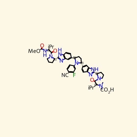 COC(=O)N[C@H](C(=O)N1CCC[C@H]1c1nc2cc([C@H]3CC[C@H](c4ccc5nc([C@@H]6CCCN6C(=O)[C@H](C(C)C)N(C)C(=O)O)[nH]c5c4)N3c3ccc(C#N)c(F)c3)ccc2[nH]1)C(C)C